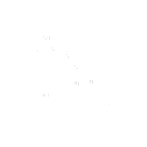 CCOc1cc(OCC)c2c(=O)[nH]c(-c3cccc(N4CCN(C(=O)NC(C)C)CC4)n3)nc2c1.Cl